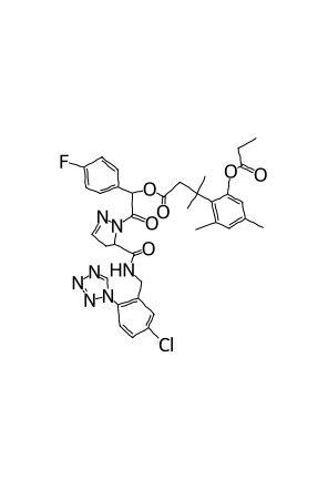 CCC(=O)Oc1cc(C)cc(C)c1C(C)(C)CC(=O)OC(C(=O)N1N=CCC1C(=O)NCc1cc(Cl)ccc1-n1cnnn1)c1ccc(F)cc1